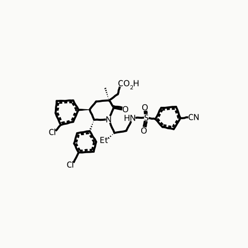 CC[C@@H](CNS(=O)(=O)c1ccc(C#N)cc1)N1C(=O)[C@](C)(CC(=O)O)C[C@H](c2cccc(Cl)c2)[C@H]1c1ccc(Cl)cc1